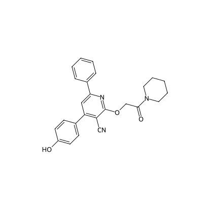 N#Cc1c(-c2ccc(O)cc2)cc(-c2ccccc2)nc1OCC(=O)N1CCCCC1